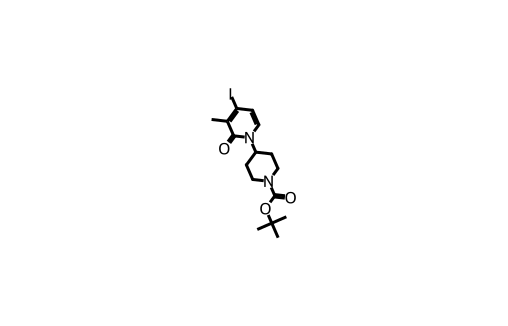 Cc1c(I)ccn(C2CCN(C(=O)OC(C)(C)C)CC2)c1=O